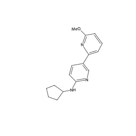 COc1cccc(-c2ccc(NC3CCCC3)nc2)n1